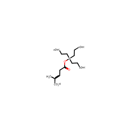 CCCCCCCCCCCC[Si](CCCCCCCCCCCC)(CCCCCCCCCCCC)OC(=O)CC=C(C)C(=O)O